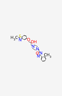 Cc1nc2cc(OC[C@H](O)CN3CCN(Cc4nc(-c5ccccc5C)no4)CC3)ccc2s1